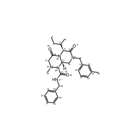 CCC(C)[C@H]1C(=O)N(Cc2cccc(C)c2)C[C@H]2N1C(=O)CN(C)N2C(=O)NCc1ccccc1